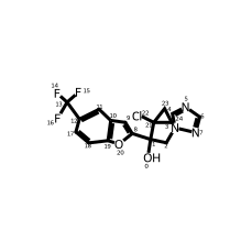 OC(Cn1cncn1)(c1cc2cc(C(F)(F)F)ccc2o1)C1(Cl)CC1